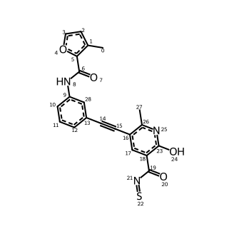 Cc1ccoc1C(=O)Nc1cccc(C#Cc2cc(C(=O)N=S)c(O)nc2C)c1